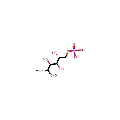 CO[C@@H](C=O)[C@@H](O)[C@H](O)[C@H](O)COP(=O)(O)O